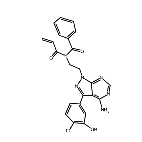 C=CC(=O)N(CCn1nc(-c2ccc(Cl)c(O)c2)c2c(N)ncnc21)C(=O)c1ccccc1